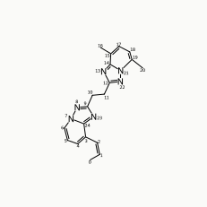 C/C=C\c1cccn2nc(CCc3nc4c(C)ccc(C)n4n3)nc12